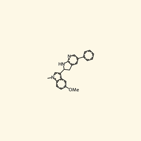 COc1ccc2c(c1)c(C1Cc3cc(-c4ccccc4)cnc3N1)cn2C